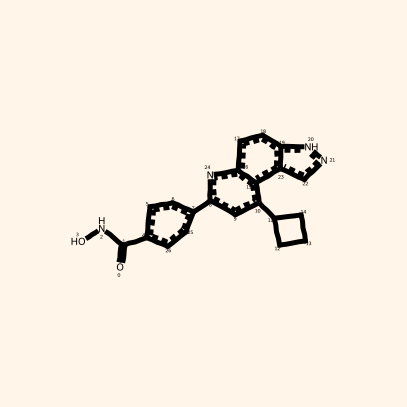 O=C(NO)c1ccc(-c2cc(C3CCC3)c3c(ccc4[nH]ncc43)n2)cc1